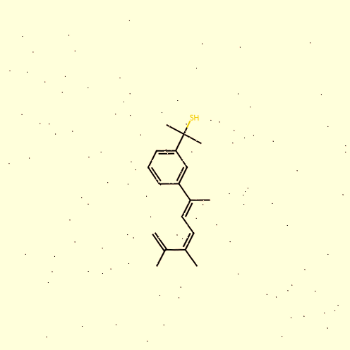 C=C(C)/C(C)=C\C=C(/C)c1cccc(C(C)(C)S)c1